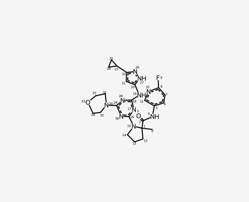 CC1(C(=O)Nc2ccc(F)nc2)CCCN1c1nc(Nc2cc(C3CC3)n[nH]2)nc(N2CCOCC2)n1